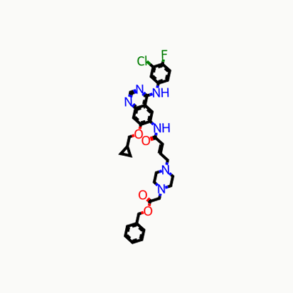 O=C(/C=C/CN1CCN(CC(=O)OCc2ccccc2)CC1)Nc1cc2c(Nc3ccc(F)c(Cl)c3)ncnc2cc1OCC1CC1